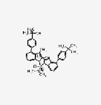 CC1=Cc2c(-c3ccc(C(C)(C)C)cc3)cccc2[CH]1[Zr]([Cl])([Cl])([CH]1C(C)=C(C)c2c(-c3ccc(C(C)(C)C)cc3)cccc21)[SiH](C)C